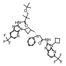 CC(C)(C)OCC(C)(C)C(=O)Nc1nc2cc(C(F)(F)F)cnc2n1C1CC(C[C@H](CC(=O)Nc2nc3ccc(C(F)(F)F)nc3n2C2CCC2)c2ccccc2)C1